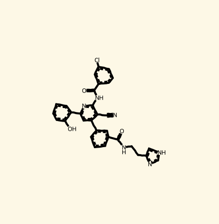 N#Cc1c(-c2cccc(C(=O)NCCc3c[nH]cn3)c2)cc(-c2ccccc2O)nc1NC(=O)c1cccc(Cl)c1